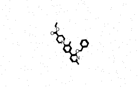 CCOC(=O)C1CCN(c2ccc(-c3ccc(C)nc3OCc3ccccc3)cc2C)CC1